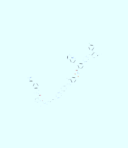 Cc1ncsc1-c1ccc(CNC(=O)[C@@H]2C[C@@H](O)CN2C(=O)[C@@H](NCCCCN2CCN(C3CCC(CNc4ccc(S(=O)(=O)NC(=O)c5ccc(N6CCN(CC7=C(c8ccc(Cl)cc8)CC(C)(C)CC7)CC6)cc5Oc5cnc6[nH]ccc6c5)cc4[N+](=O)[O-])CC3)CC2)C(C)(C)C)cc1